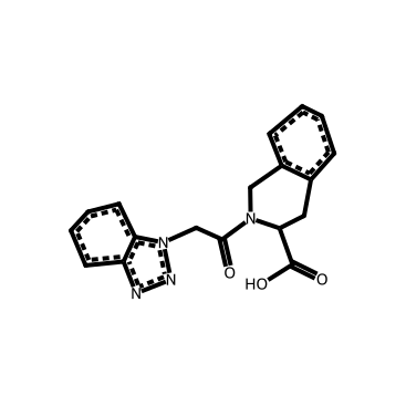 O=C(O)C1Cc2ccccc2CN1C(=O)Cn1nnc2ccccc21